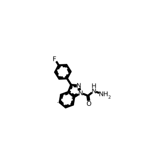 NNC(=O)n1nc(-c2ccc(F)cc2)c2c[c]ccc21